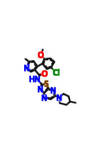 COc1ccc(Cl)cc1-c1cc(C)ncc1C(=O)Nc1nc2ncc(N3CCC(C)CC3)nc2s1